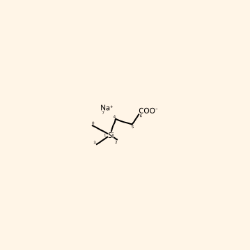 C[Si](C)(C)CCC(=O)[O-].[Na+]